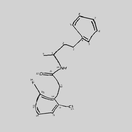 CC(CCc1ccccc1)NC(=O)Cc1c(F)cccc1Cl